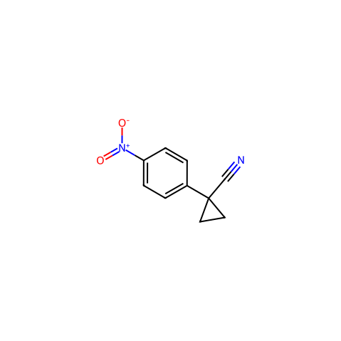 N#CC1(c2ccc([N+](=O)[O-])cc2)CC1